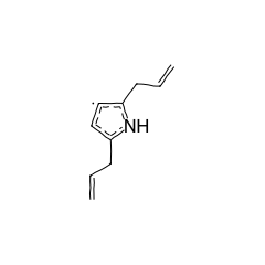 C=CCc1[c]cc(CC=C)[nH]1